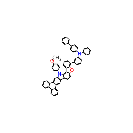 COc1ccc(-n2c3cc4c5ccccc5c5ccccc5c4cc3c3ccc4oc5c(-c6cccc(N(c7ccccc7)c7ccc(-c8ccccc8)cc7)c6)cccc5c4c32)cc1